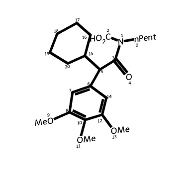 CCCCCN(C(=O)O)C(=O)C(c1cc(OC)c(OC)c(OC)c1)C1CCCCC1